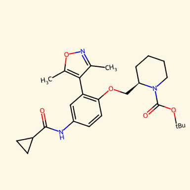 Cc1noc(C)c1-c1cc(NC(=O)C2CC2)ccc1OC[C@H]1CCCCN1C(=O)OC(C)(C)C